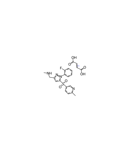 CNCc1cc(S(=O)(=O)c2ccc(C)nc2)n(-c2ccccc2F)n1.O=C(O)/C=C/C(=O)O